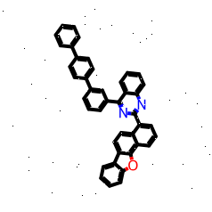 c1ccc(-c2ccc(-c3cccc(-c4nc(-c5cccc6c5ccc5c7ccccc7oc65)nc5ccccc45)c3)cc2)cc1